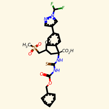 CC(C[C@](NC(=S)NC(=O)OCc1ccccc1)(C(=O)O)c1ccc(-c2cnn(C(F)F)c2)cc1)CS(C)(=O)=O